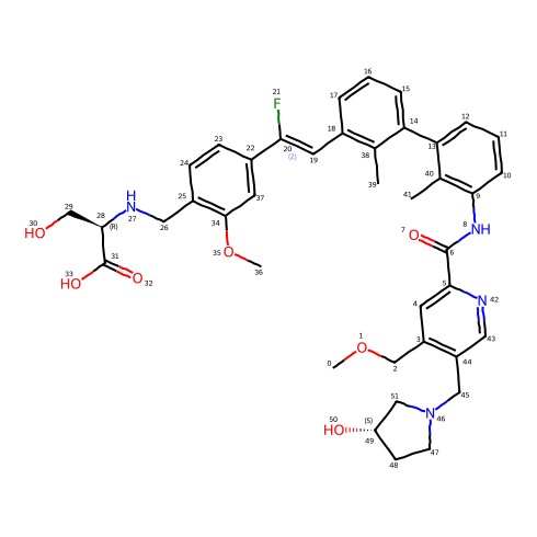 COCc1cc(C(=O)Nc2cccc(-c3cccc(/C=C(\F)c4ccc(CN[C@H](CO)C(=O)O)c(OC)c4)c3C)c2C)ncc1CN1CC[C@H](O)C1